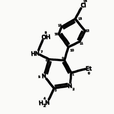 CCc1nc(N)nc(NO)c1-c1ccc(Cl)cc1